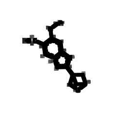 CC(C)Oc1cc2nc(C34COC(C3)C4)cn2cc1C(=O)O